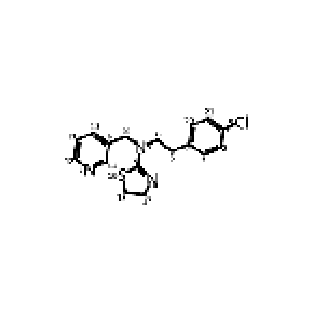 Clc1ccc(CCN(Cc2cccnc2)C2=NCCS2)cc1